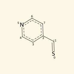 S=[C]c1ccncc1